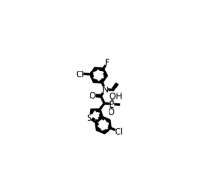 C=CN(C(=O)C(c1csc2ccc(Cl)cc12)P(C)(=O)O)c1cc(F)cc(Cl)c1